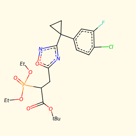 CCOP(=O)(OCC)C(Cc1nc(C2(c3ccc(Cl)c(F)c3)CC2)no1)C(=O)OC(C)(C)C